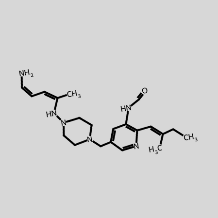 CC/C(C)=C/c1ncc(CN2CCN(N/C(C)=C\C=C/N)CC2)cc1NC=O